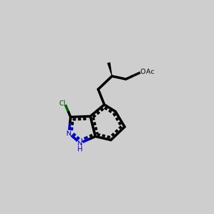 CC(=O)OC[C@H](C)Cc1cccc2[nH]nc(Cl)c12